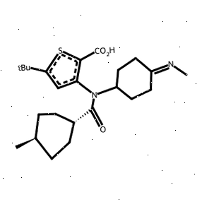 CN=C1CCC(N(c2cc(C(C)(C)C)sc2C(=O)O)C(=O)[C@H]2CC[C@H](C)CC2)CC1